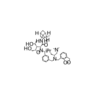 CC(C)C[C@@H](CN(C)C)N(Cc1cccc(CN2O[C@@H](CO)[C@@H]([C@H](C)O)[C@H]2C(=O)N[C@H]2C[C@H]3C[C@@H]([C@@H]2C)C3(C)C)c1)Cc1cccc2c1OOC2